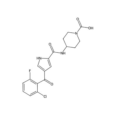 O=C(NC1CCN(C(=O)O)CC1)c1cc(C(=O)c2c(F)cccc2Cl)c[nH]1